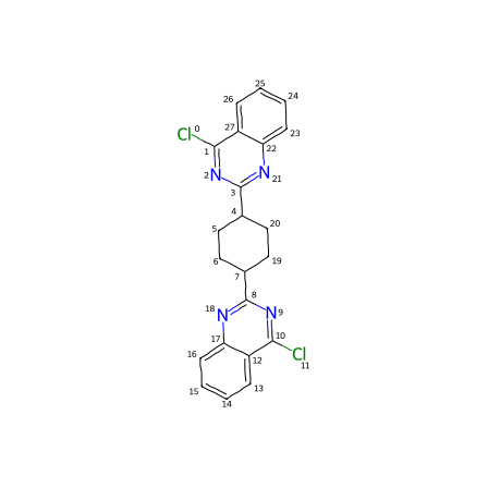 Clc1nc(C2CCC(c3nc(Cl)c4ccccc4n3)CC2)nc2ccccc12